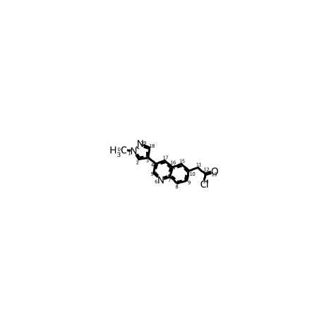 Cn1cc(-c2cnc3ccc(CC(=O)Cl)cc3c2)cn1